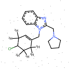 [2H]C1([2H])C=C(Cn2c(CN3CCCC3)nc3ccccc32)C([2H])([2H])C([2H])([2H])C1Cl